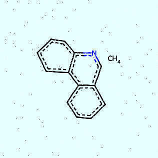 C.c1ccc2c(c1)cnc1ccccc12